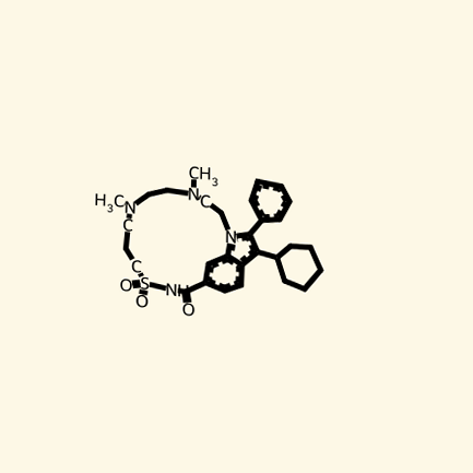 CN1CCCS(=O)(=O)NC(=O)c2ccc3c(C4CCCCC4)c(-c4ccccc4)n(c3c2)CCN(C)CC1